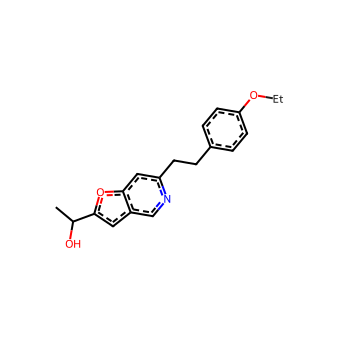 CCOc1ccc(CCc2cc3oc(C(C)O)cc3cn2)cc1